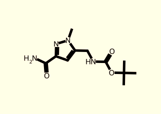 Cn1nc(C(N)=O)cc1CNC(=O)OC(C)(C)C